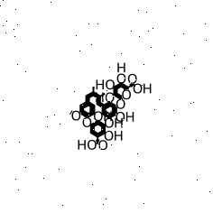 COc1cc(C[C@@H](C)[C@@H](C)Cc2ccc(O)c(O[C@@H]3O[C@H](C(=O)O)[C@@H](O)[C@H](O)[C@H]3O)c2)ccc1O[C@@H]1C[C@H](C(=O)O)[C@@H](O)[C@H](O)[C@H]1O